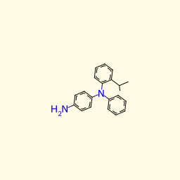 CC(C)c1ccccc1N(c1ccccc1)c1ccc(N)cc1